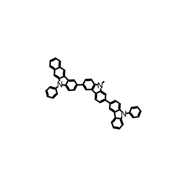 Cn1c2ccc(-c3ccc4c(c3)c3cc5ccccc5cc3n4-c3ccccc3)cc2c2ccc(-c3ccc4c(c3)c3ccccc3n4-c3ccccc3)cc21